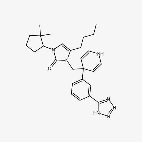 CCCCc1cn(C2CCCC2(C)C)c(=O)n1CC1(c2cccc(-c3nnn[nH]3)c2)C=CNC=C1